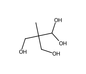 CC(CO)(CO)C(O)O